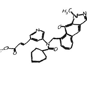 COC(=O)/C=C/c1cncc(N(Cc2cccc3cc4cnn(C)c4c(Cl)c23)C(=O)C2CCCCC2)c1